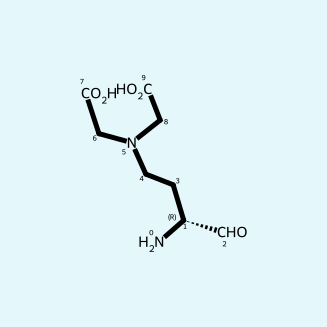 N[C@@H](C=O)CCN(CC(=O)O)CC(=O)O